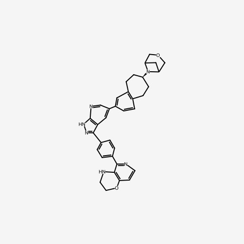 c1cc2c(c(-c3ccc(-c4n[nH]c5ncc(-c6ccc7c(c6)CC[C@@H](N6C8COCC6C8)CC7)cc45)cc3)n1)NCCO2